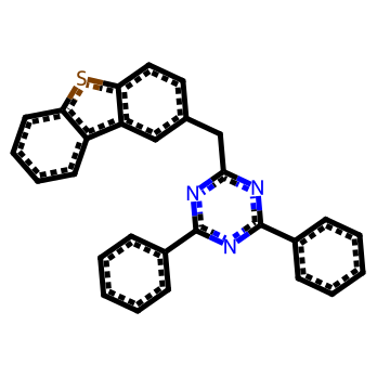 c1ccc(-c2nc(Cc3ccc4sc5ccccc5c4c3)nc(-c3ccccc3)n2)cc1